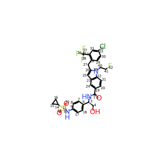 O=C(N[C@@H](CO)c1ccc(NS(=O)(=O)C2CC2)cc1)c1ccc2c(c1)cc(Cc1ccc(Cl)cc1C(F)(F)F)n2CCF